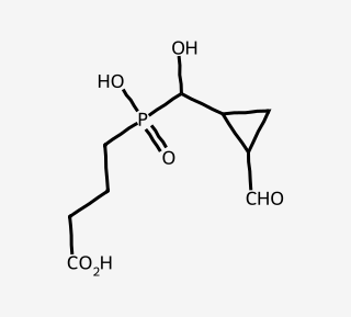 O=CC1CC1C(O)P(=O)(O)CCCC(=O)O